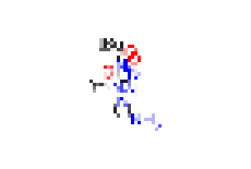 CC(C)=CCn1c(N2CCCC(N)C2)nc2c1c(=O)n(CC(=O)C(C)(C)C)c(=O)n2C